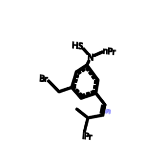 CCCN(S)c1cc(/C=C\C(C)C(C)C)cc(CBr)c1